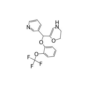 FC(F)(F)Oc1ccccc1OC(C1=CNCCO1)c1cccnc1